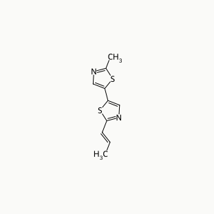 C/C=C/c1ncc(-c2cnc(C)s2)s1